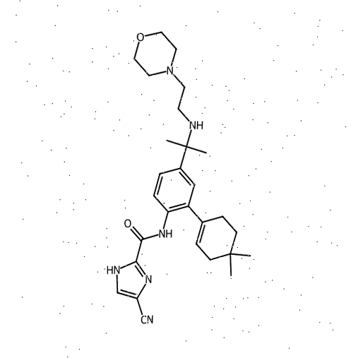 CC1(C)CC=C(c2cc(C(C)(C)NCCN3CCOCC3)ccc2NC(=O)c2nc(C#N)c[nH]2)CC1